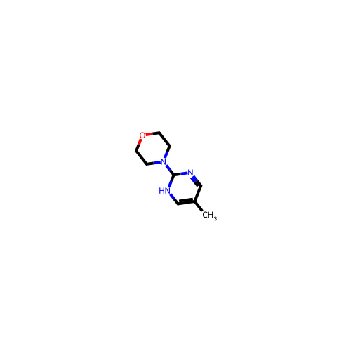 CC1=CNC(N2CCOCC2)N=C1